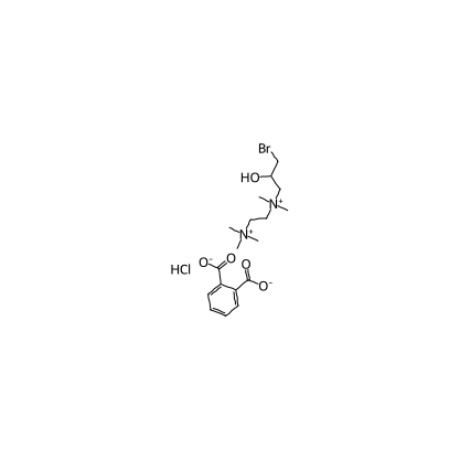 C[N+](C)(C)CC[N+](C)(C)CC(O)CBr.Cl.O=C([O-])c1ccccc1C(=O)[O-]